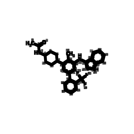 CC(=O)NC1CCC(c2nc(-c3ccccc3C(F)(F)F)nc(Nc3n[nH]c4ccccc34)c2C)CC1